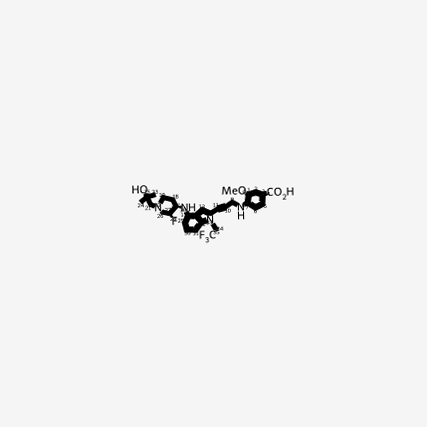 COc1cc(C(=O)O)ccc1NCC#Cc1cc2c(N[C@@H]3CCN(CC(C)(C)O)C[C@@H]3F)cccc2n1CC(F)(F)F